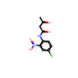 CC(=O)CC(=O)Nc1ccc(Br)cc1[N+](=O)[O-]